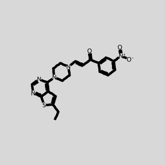 CCc1cc2c(N3CCN(C=CC(=O)c4cccc([N+](=O)[O-])c4)CC3)ncnc2s1